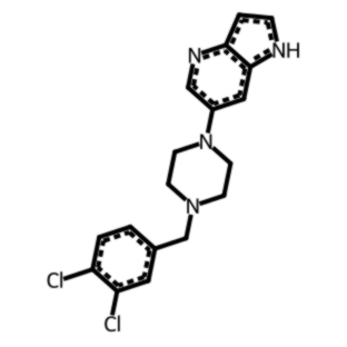 Clc1ccc(CN2CCN(c3cnc4cc[nH]c4c3)CC2)cc1Cl